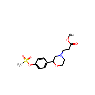 CC(C)(C)OC(=O)CCN1CCOC(c2ccc(OS(=O)(=O)C(F)(F)F)cc2)C1